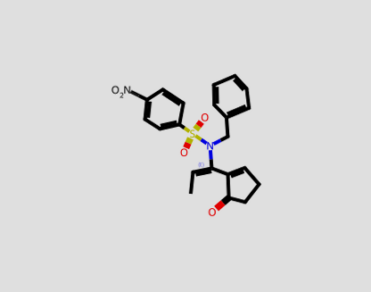 C/C=C(\C1=CCCC1=O)N(Cc1ccccc1)S(=O)(=O)c1ccc([N+](=O)[O-])cc1